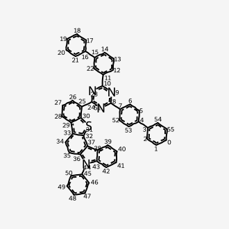 c1ccc(-c2ccc(-c3nc(-c4cccc(-c5ccccc5)c4)nc(-c4cccc5c4sc4c5ccc5c4c4ccccc4n5-c4ccccc4)n3)cc2)cc1